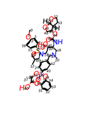 COc1ccc(S(=O)(=O)N(CC(C)C)C[C@@H](O)[C@H](CN(C)Cc2ccc(P(=O)(Oc3ccccc3)O[C@@H](C)C(=O)O)cc2)NC(=O)O[C@H]2CO[C@H]3OCC[C@H]32)cc1